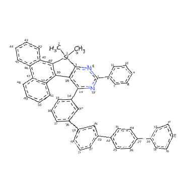 C[Si]1(C)c2nc(-c3ccccc3)nc(-c3cccc(-c4cccc(-c5ccc(-c6ccccc6)cc5)c4)c3)c2-c2c1c1ccccc1c1ccccc21